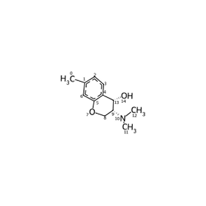 Cc1ccc2c(c1)OC[C@@H](N(C)C)[C@H]2O